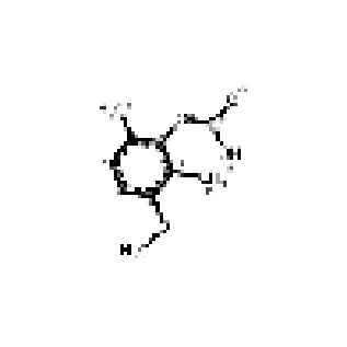 COc1ccc(C)c(OB(O)O)c1C